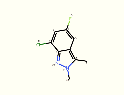 Cc1c2cc(F)cc(Cl)c2nn1C